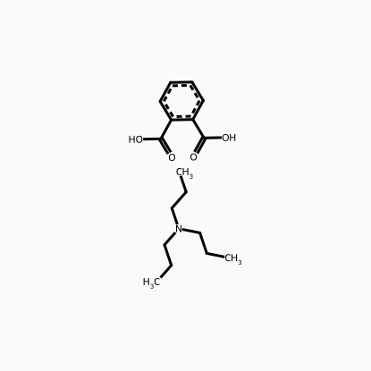 CCCN(CCC)CCC.O=C(O)c1ccccc1C(=O)O